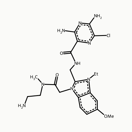 CCn1c(CNC(=O)c2nc(Cl)c(N)nc2N)[n+](CC(=O)N(C)CCN)c2ccc(OC)cc21